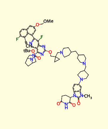 C#Cc1c(F)ccc2cc(OCOC)cc(-c3ncc4c(N5CC6CCC(C5)N6C(=O)OC(C)(C)C)nc(OCC5(CN6CCC(CC7CCN(CC8CCN(c9ccc%10c(c9)n(C)c(=O)n%10C9CCC(=O)NC9=O)CC8)CC7)CC6)CC5)nc4c3F)c12